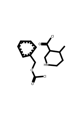 CC1CCNCC1C(=O)Cl.O=C(Cl)OCc1ccccc1